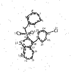 O=S(=O)(Cc1ccccc1)c1sc2ncccc2c1-c1ccc(Cl)cc1